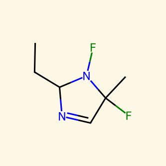 CCC1N=CC(C)(F)N1F